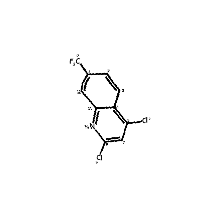 FC(F)(F)c1ccc2c(Cl)cc(Cl)nc2c1